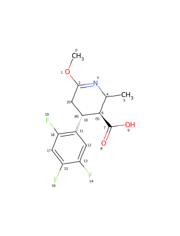 COC1=NC(C)[C@@H](C(=O)O)[C@H](c2cc(F)c(F)cc2F)C1